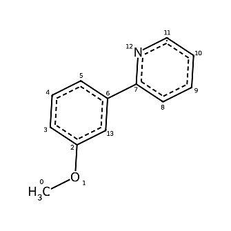 COc1cccc(-c2ccc[c]n2)c1